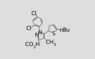 CCCCC1=CCC(c2c(C)c(C(=O)O)nn2-c2ccc(Cl)cc2Cl)S1